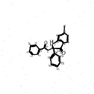 Cc1ccc2c(c1)NC(CC(=O)c1ccccc1)(c1ccccc1)C2=O